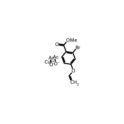 C=COc1ccc(C(=O)OC)c(Br)c1.CC(=O)[O-].CC(=O)[O-].[Cu+2]